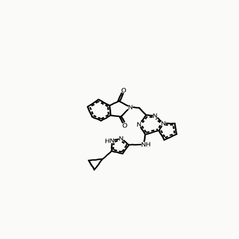 O=C1c2ccccc2C(=O)N1Cc1nc(Nc2cc(C3CC3)[nH]n2)c2cccn2n1